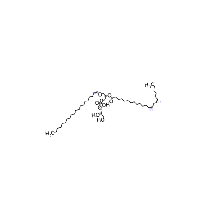 CCCCC/C=C\C/C=C\CCCCCCCCCCCC(=O)O[C@H](CO/C=C\CCCCCCCCCCCCCCCCCC)COP(=O)(O)OC[C@@H](O)CO